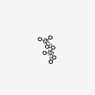 c1ccc(-c2nc(-c3ccccc3)nc(-c3cccc4c3oc3cccc(-c5nc(-c6ccccc6)nc(-c6cccc7c6sc6ccccc67)n5)c34)n2)cc1